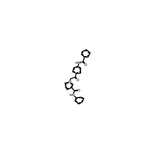 O=C(C[n+]1cccc(C(=O)Nc2ccccc2)c1)c1ccc(NC(=O)c2ccccc2)cc1